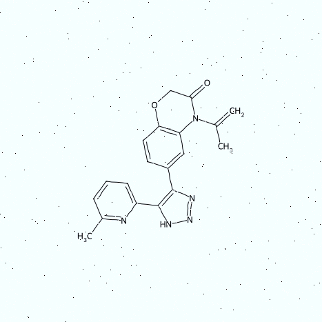 C=C(C)N1C(=O)COc2ccc(-c3nn[nH]c3-c3cccc(C)n3)cc21